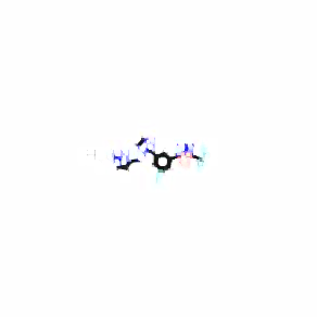 Cn1ccc(Cn2ccnc2-c2cc(F)cc(-c3nnc(C(F)F)o3)c2)n1